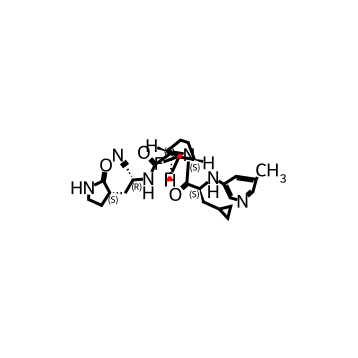 Cc1cncc(N[C@@H](CC2CC2)C(=O)N2[C@H]3CC[C@@H]([C@@H]2C(=O)N[C@@H](C#N)C[C@@H]2CCNC2=O)C(F)(F)C3)c1